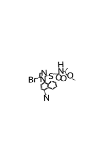 CCOC(=O)[C@H](C)NC(=O)CSc1ncc(Br)n1-c1ccc(C#N)c2ccccc12